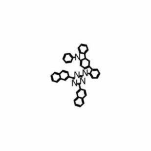 C1=C2C(Cc3c1n(-c1nc(-c4ccc5ccccc5c4)nc(-c4ccc5ccccc5c4)n1)c1ccccc31)c1ccccc1N2c1ccccc1